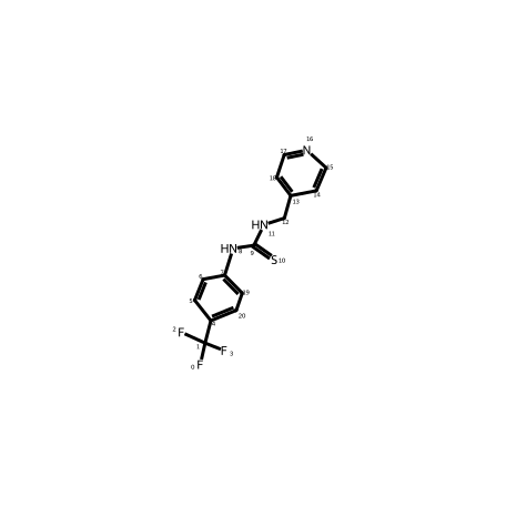 FC(F)(F)c1ccc(NC(=S)NCc2ccncc2)cc1